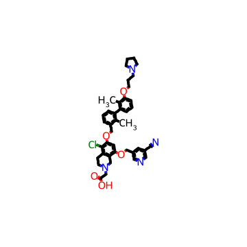 Cc1c(COc2cc(OCc3cncc(C#N)c3)c3c(c2Cl)CCN(CC(=O)O)C3)cccc1-c1cccc(OCCCN2CCCC2)c1C